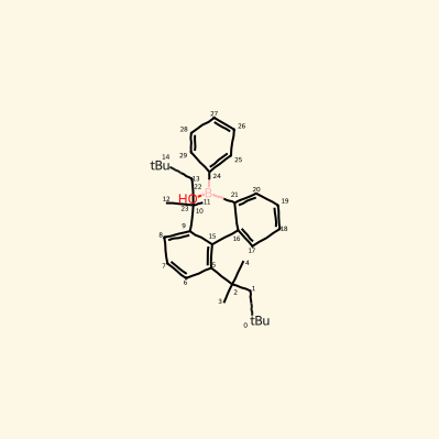 CC(C)(C)CC(C)(C)c1cccc(C(C)(C)CC(C)(C)C)c1-c1ccccc1B(O)c1ccccc1